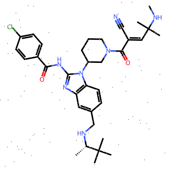 CNC(C)(C)/C=C(\C#N)C(=O)N1CCCC(n2c(NC(=O)c3ccc(Cl)cc3)nc3cc(CN[C@@H](C)C(C)(C)C)ccc32)C1